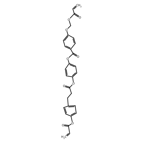 C=CC(=O)OCOc1ccc(C(=O)Oc2ccc(OC(=O)CCc3ccc(OC(=O)C=C)cc3)cc2)cc1